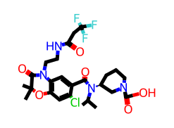 CC(C)N(C(=O)c1cc2c(cc1Cl)OC(C)(C)C(=O)N2CCNC(=O)CC(F)(F)F)[C@@H]1CCCN(C(=O)O)C1